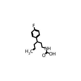 C=CCC(CCNC(=O)O)c1ccc(F)cc1